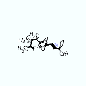 CC(F)[C@H](C)C(C)c1noc(/C=C/C(=O)O)n1